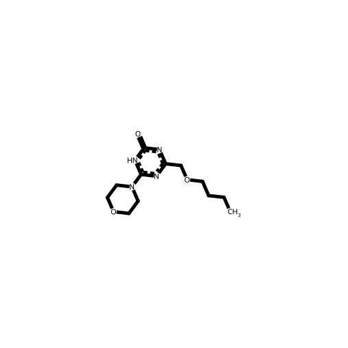 CCCCOCc1nc(N2CCOCC2)[nH]c(=O)n1